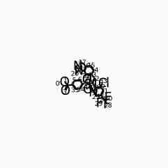 COC(=O)c1ccc(S(=O)(=O)N(Cc2ccc3cnn(C)c3c2)c2ncc(C(F)(F)F)cc2Cl)cc1